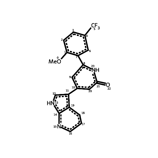 COc1ccc(C(F)(F)F)cc1-c1cc(-c2c[nH]c3ncccc23)cc(=O)[nH]1